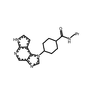 CC(C)NC(=O)C1CCC(n2cnc3cnc4[nH]ccc4c32)CC1